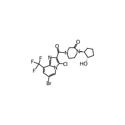 O=C(c1nc2c(C(F)(F)F)cc(Br)cn2c1Cl)N1CCN([C@H]2CCC[C@@H]2O)C(=O)C1